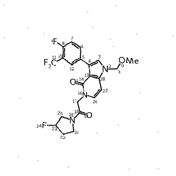 COCn1cc(-c2ccc(F)c(C(F)(F)F)c2)c2c(=O)n(CC(=O)N3CCC(F)C3)ccc21